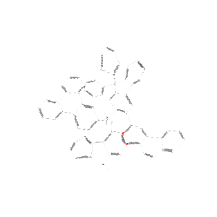 CC1(C)c2ccccc2-c2c(N(c3ccc4c5ccccc5c5ccccc5c4c3)c3cc4c(cc3-c3ccc5ccc6ccccc6c5c3)-c3ccccc3C43c4ccccc4-c4ccccc43)cccc21